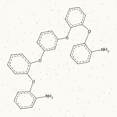 Nc1ccccc1Oc1ccccc1Oc1cccc(Oc2ccccc2Oc2ccccc2N)c1